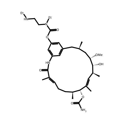 CCNCCN(CC)C(=O)Oc1cc2cc(c1)NC(=O)/C(C)=C/CC[C@H](C)[C@@H](OC(N)=O)/C(C)=C/[C@H](C)[C@@H](O)[C@@H](OC)C[C@H](C)C2